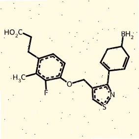 BC1C=CC(c2nscc2COc2ccc(CCC(=O)O)c(C)c2F)=CC1